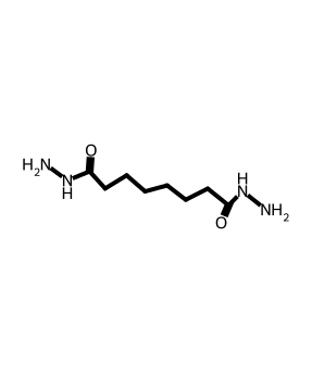 NNC(=O)CCCCCCC(=O)NN